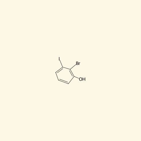 Oc1cccc(I)c1Br